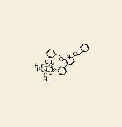 CC1(C)OB(c2cccc(-c3ccc(OCc4ccccc4)nc3OCc3ccccc3)c2)OC1(C)C